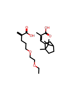 C=C(CCCOCCOCC)C(=O)O.CC(=CC1CC2CCC1(C)C2(C)C)C(=O)O